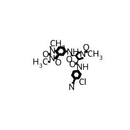 CCn1c(=O)c2cc(NC(=O)[C@H]3CN(C(C)=O)C[C@H]3C(=O)Nc3ccc(C#N)c(Cl)c3)ccc2n(CC)c1=O